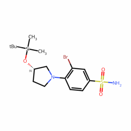 CC(C)(C)[Si](C)(C)O[C@H]1CCN(c2ccc(S(N)(=O)=O)cc2Br)C1